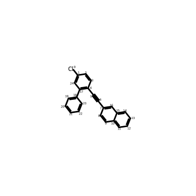 Clc1ccc(C#Cc2ccc3ccccc3c2)c(-c2ccccc2)c1